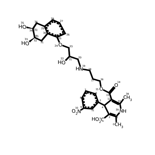 CC1=C(C(=O)O)C(c2cccc([N+](=O)[O-])c2)C(C(=O)OCCCNCC(O)COc2cccc3c2C[C@@H](O)[C@@H](O)C3)=C(C)N1